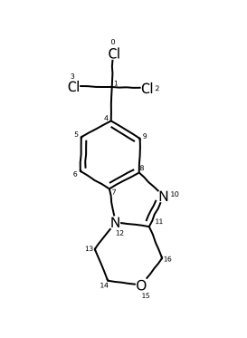 ClC(Cl)(Cl)c1ccc2c(c1)nc1n2CCOC1